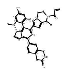 C=CC(=O)N1CCn2nc(-c3nc(-c4ccc5c(c4)CNC(=O)C5)c4ccsc4c3-c3c(F)cc(F)cc3OC)cc2C1C